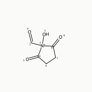 O=[C][N+]1(O)C(=O)CCC1=O